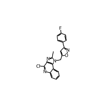 Cc1nc2c(Cl)nc3ccccc3c2n1Cc1cc(-c2ccc(F)cc2)no1